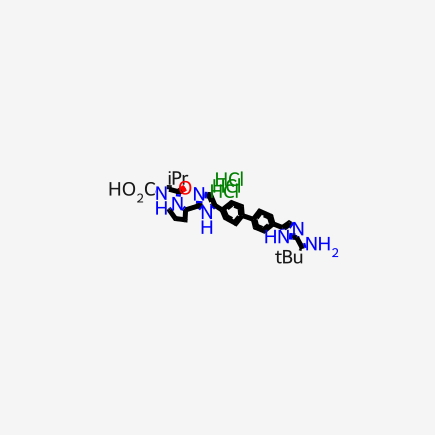 CC(C)C(NC(=O)O)C(=O)N1CCCC1c1ncc(-c2ccc(-c3ccc(-c4cnc([C@@H](N)C(C)(C)C)[nH]4)cc3)cc2)[nH]1.Cl.Cl.Cl